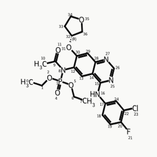 CCOP(=O)(OCC)N(C(C)=O)c1cc2c(Nc3ccc(F)c(Cl)c3)ncnc2cc1O[C@@H]1CCOC1